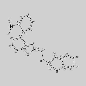 CN(C)c1ccccc1-c1cccc2c1CN(CCc1ccc3ccccc3n1)C2